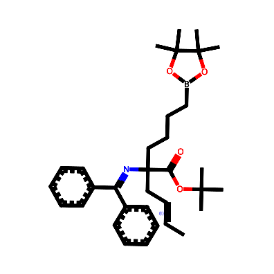 C/C=C/CC(CCCCB1OC(C)(C)C(C)(C)O1)(N=C(c1ccccc1)c1ccccc1)C(=O)OC(C)(C)C